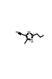 CCCc1nc(C#N)c(C)[nH]1